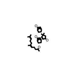 CC(=O)CC/C=C(/C)CCC=C(C)C.CC1(C)C=CC(=O)C1.O=C1CC2CCC1C2.O=C1CC2CCC1C2